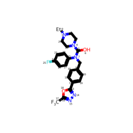 CCN1CCN(C(O)N(Cc2ccc(-c3nnc(C(F)(F)F)o3)cc2)c2ccc(F)cc2)CC1